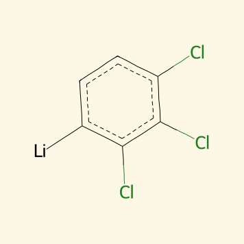 [Li][c]1ccc(Cl)c(Cl)c1Cl